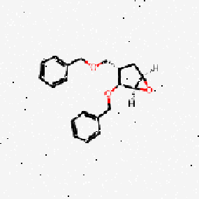 c1ccc(COC[C@@H]2C[C@H]3O[C@H]3[C@H]2OCc2ccccc2)cc1